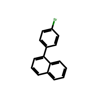 Brc1ccc(-c2cc[c]c3ccccc23)cc1